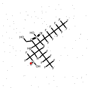 O=S(=O)(O)C(F)(F)C(F)(F)C(F)(C(F)(F)C(F)(F)C(F)(F)F)C(O)(CCO)C(F)(C(F)(F)C(F)(F)C(F)(F)C(F)(F)C(F)(F)F)S(=O)(=O)O